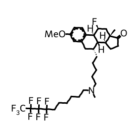 COc1ccc2c(c1)C[C@@H](CCCCCN(C)CCCCCCC(F)(F)C(F)(F)C(F)(F)C(F)(F)F)[C@@H]1[C@@H]2[C@@H](F)C[C@]2(C)C(=O)CC[C@@H]12